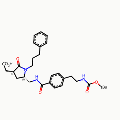 CC(C)(C)OC(=O)NCCc1ccc(C(=O)NC[C@@H]2C[C@@H](CC(=O)O)C(=O)N2CCCc2ccccc2)cc1